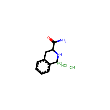 Cl.Cl.Cl.NC(=O)C1Cc2ccccc2CN1